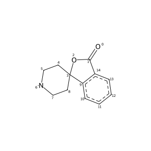 O=C1OC2(CC[N]CC2)c2ccccc21